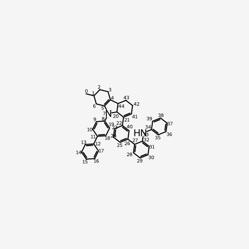 CC1CCC2=C(C1)N(c1ccc(-c3ccccc3)cc1)C1C(c3cccc(-c4ccccc4Nc4ccccc4)c3)=CCCC21